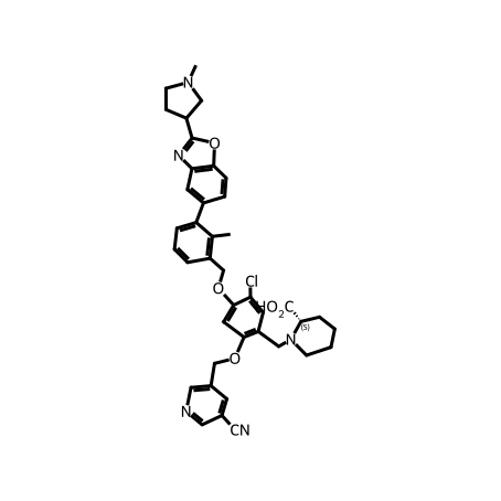 Cc1c(COc2cc(OCc3cncc(C#N)c3)c(CN3CCCC[C@H]3C(=O)O)cc2Cl)cccc1-c1ccc2oc(C3CCN(C)C3)nc2c1